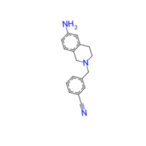 N#Cc1cccc(CN2CCc3cc(N)ccc3C2)c1